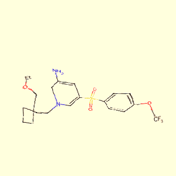 CCOCC1(CN2C=C(S(=O)(=O)c3ccc(OC(F)(F)F)cc3)C=C(N)C2)CCC1